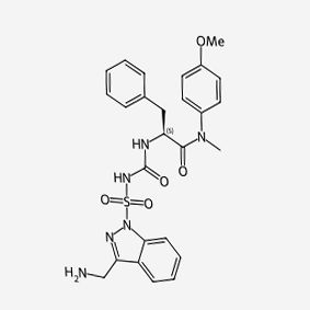 COc1ccc(N(C)C(=O)[C@H](Cc2ccccc2)NC(=O)NS(=O)(=O)n2nc(CN)c3ccccc32)cc1